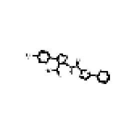 Cc1ccc(-c2csc(NC(=O)c3ccc(-c4ccccc4)s3)c2C(=O)O)cc1